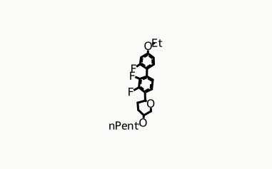 CCCCCOC1CCC(c2ccc(-c3ccc(OCC)cc3F)c(F)c2F)OC1